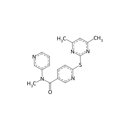 Cc1cc(C)nc(Sc2ccc(C(=O)N(C)c3cccnc3)cn2)n1